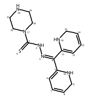 S=C(NN=C(C1=CC=CCN1)C1=CC=CCN1)N1CCNCC1